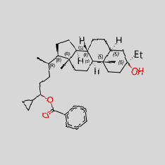 CC[C@]1(O)CC[C@@]2(C)[C@@H](CC[C@@H]3[C@@H]2CC[C@]2(C)[C@@H]([C@H](C)CCC(OC(=O)c4ccccc4)C4CC4)CC[C@@H]32)C1